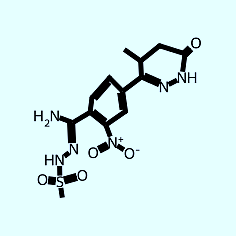 CC1CC(=O)NN=C1c1ccc(C(N)=NNS(C)(=O)=O)c([N+](=O)[O-])c1